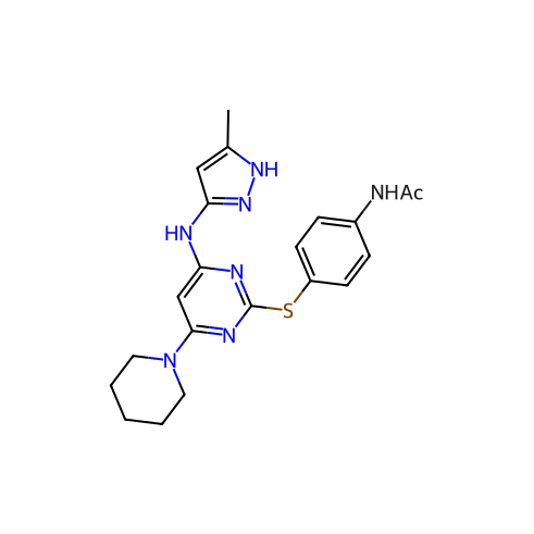 CC(=O)Nc1ccc(Sc2nc(Nc3cc(C)[nH]n3)cc(N3CCCCC3)n2)cc1